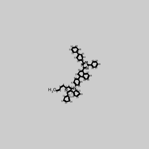 C/C=C\C=C/c1cc2c(c(-c3ccccc3)n1)c1ccccc1n2-c1ccc(-c2ccc(-c3nc(-c4ccccc4)nc(-c4ccc(-c5ccccc5)cc4)n3)c3ccccc23)cc1